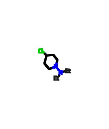 CCN(CC)N1CCC(Cl)CC1